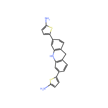 Nc1ccc(-c2ccc3c(c2)Nc2cc(-c4ccc(N)s4)ccc2C3)s1